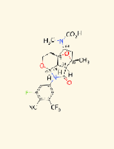 CN(C(=O)O)[C@@H]1C[C@@]2(C)O[C@@]13CCO[C@H]1[C@@H]3[C@@H]2C(=O)N1c1cc(F)c(C#N)c(C(F)(F)F)c1